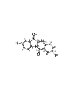 O=C1c2cc(I)ccc2-n2c1nc1ccc(I)cc1c2=O